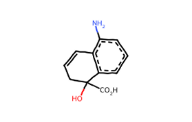 Nc1cccc2c1C=CCC2(O)C(=O)O